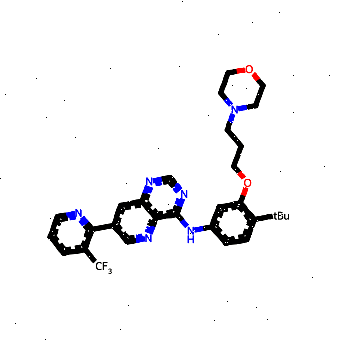 CC(C)(C)c1ccc(Nc2ncnc3cc(-c4ncccc4C(F)(F)F)cnc23)cc1OCCCN1CCOCC1